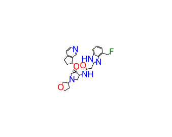 O=C(Cc1nc2c(CF)cccc2[nH]1)NC1CN(C2CCOC2)C[C@@H]1OC1CCc2ccncc21